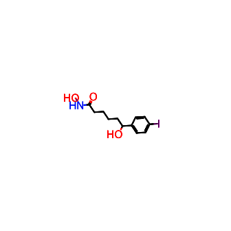 O=C(CCCCC(O)c1ccc(I)cc1)NO